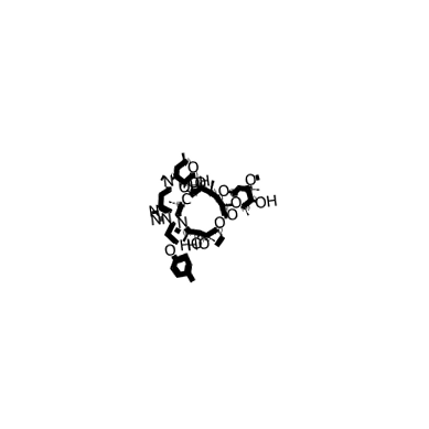 CC[C@H]1OC(=O)[C@H](C)[C@@H](O[C@H]2C[C@@](C)(OC)[C@@H](O)[C@H](C)O2)[C@H](C)[C@@H](O[C@@H]2O[C@H](C)C[C@H](N(C)CCc3cn(CCCOc4ccc(C)cc4)nn3)[C@H]2O)[C@](C)(O)C[C@@H](C)CN(C)[C@H](C)[C@@H](O)[C@]1(C)O